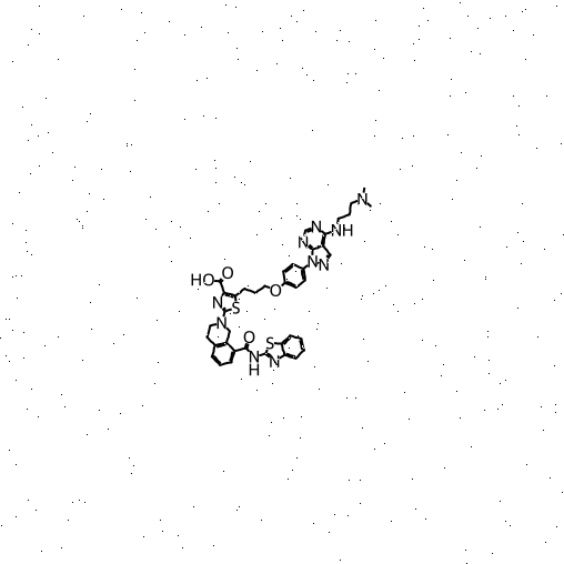 CN(C)CCCNc1ncnc2c1cnn2-c1ccc(OCCCc2sc(N3CCc4cccc(C(=O)Nc5nc6ccccc6s5)c4C3)nc2C(=O)O)cc1